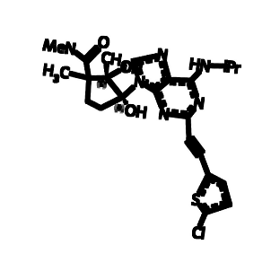 CNC(=O)C1(C)CC[C@](O)(n2cnc3c(NC(C)C)nc(C#Cc4ccc(Cl)s4)nc32)[C@@]1(C)O